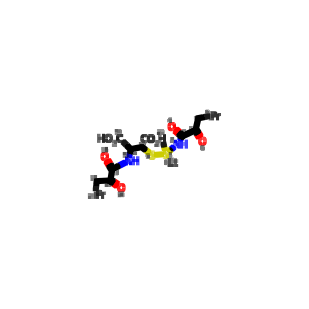 CCS(NC(=O)C(=O)CC(C)C)(SCC(NC(=O)C(=O)CC(C)C)C(=O)O)C(=O)O